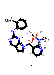 COc1ccccc1Nc1ncc2ccn(Cc3cccnc3N(C)S(C)(=O)=O)c2n1